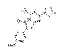 COc1ccc(-c2oc3nc(-c4cccs4)nc(N)c3c2C)cc1